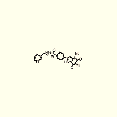 CCn1c(=O)c2[nH]c(-c3ccc(S(=O)(=O)NCCc4cccnc4)cc3)cc2n(CC)c1=O